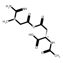 CC(=O)N[C@@H](CC(=O)OC(=O)CN(C)C(=N)N)C(=O)O